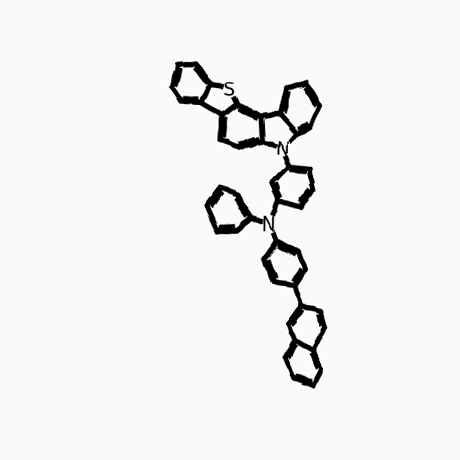 c1ccc(N(c2ccc(-c3ccc4ccccc4c3)cc2)c2cccc(-n3c4ccccc4c4c5sc6ccccc6c5ccc43)c2)cc1